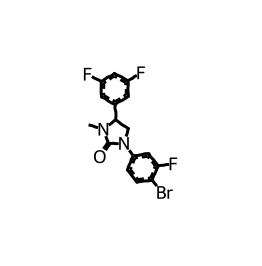 CN1C(=O)N(c2ccc(Br)c(F)c2)CC1c1cc(F)cc(F)c1